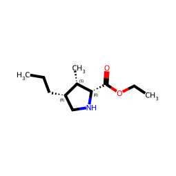 CCC[C@H]1CN[C@@H](C(=O)OCC)[C@H]1C